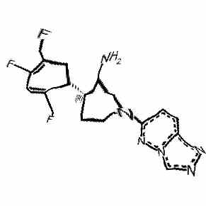 NC1CN(c2ccc3nncn3n2)CC[C@@H]1C1CC(F)=C(F)C=C1F